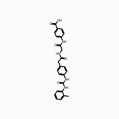 Cc1ccccc1NC(=O)Nc1ccc(CC(=O)NCC(=O)Nc2ccc(C(=O)O)cc2)cc1